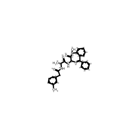 Cc1cccc(CC(=O)N[C@@H](C)C(=O)NC2N=C(c3ccccc3)c3ccccc3N(C)C2=O)c1